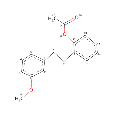 COc1cccc(CCc2ccccc2OC(C)=O)c1